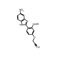 C#CCOc1ccc(-c2nc3cc([N+](=O)[O-])ccc3[nH]2)c(OCC)c1